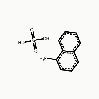 O=[Se](=O)(O)O.Pc1cccc2ccccc12